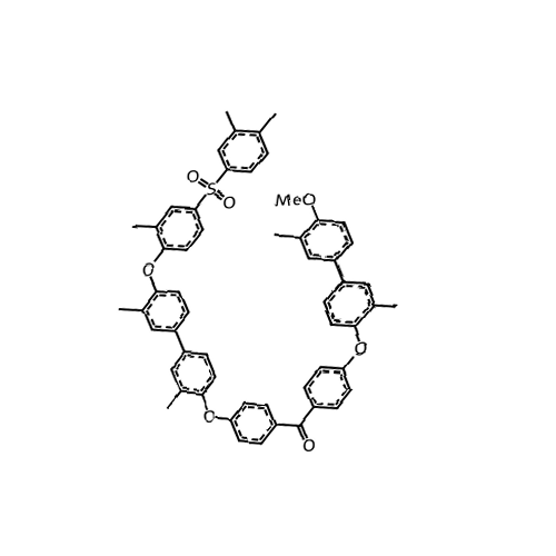 COc1ccc(-c2ccc(Oc3ccc(C(=O)c4ccc(Oc5ccc(-c6ccc(Oc7ccc(S(=O)(=O)c8ccc(C)c(C)c8)cc7C)c(C)c6)cc5C)cc4)cc3)c(C)c2)cc1C